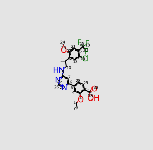 CCOc1cc(-c2cc(NCCc3cc(Cl)c(C(F)(F)F)cc3OC)ncn2)ccc1C(=O)O